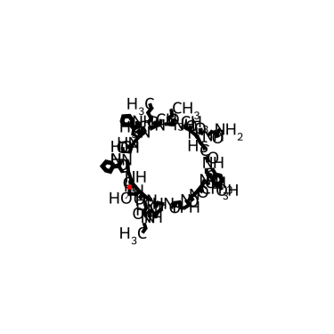 CCCCC[C@H]1C(=O)N(C)[C@@H](CCCC)C(=O)N[C@@H](C)C(=O)N[C@H](C(=O)NCC(N)=O)CSCC(=O)N[C@@H](Cc2ccc(O)cc2)C(=O)N(C)[C@@H](C)C(=O)NC(=O)N2CCC[C@H]2C(=O)N[C@@H](Cc2cnc[nH]2)C(=O)N[C@@H](CCC(=O)NCCC)C(=O)N2C[C@H](O)C[C@H]2C(=O)N[C@@H](Cc2c[nH]c3ccccc23)C(=O)N[C@@H](CO)C(=O)N[C@@H](Cc2c[nH]c3ccccc23)C(=O)N1C